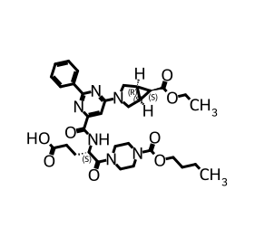 CCCCOC(=O)N1CCN(C(=O)[C@H](CCC(=O)O)NC(=O)c2cc(N3C[C@@H]4[C@H](C3)[C@@H]4C(=O)OCC)nc(-c3ccccc3)n2)CC1